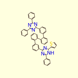 c1ccc(C2=NC(c3cccc(-c4ccccc4-c4ccccc4-c4cccc(-c5nc(-c6ccccc6)nc(-c6ccccc6)n5)c4)c3)=NC(c3cccs3)N2)cc1